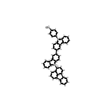 CC(C)(C)c1ccc(-n2c3ccccc3c3cc(-c4ccc5c(c4)c4ccccc4n5-c4ccc5c6c(cccc46)-c4ccccc4-5)ccc32)cc1